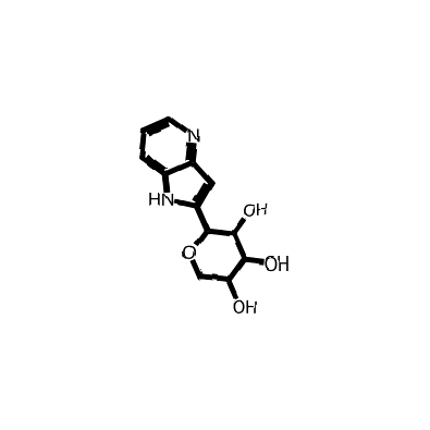 OC1COC(c2cc3ncccc3[nH]2)C(O)C1O